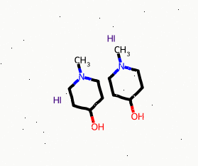 CN1CCC(O)CC1.CN1CCC(O)CC1.I.I